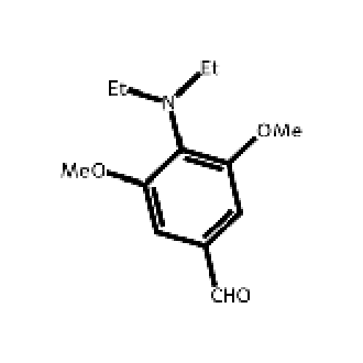 CCN(CC)c1c(OC)cc(C=O)cc1OC